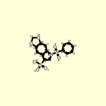 O=S(=O)(Cl)c1cn(S(=O)(=O)c2ccccc2)c2cc3c(cc12)OCO3